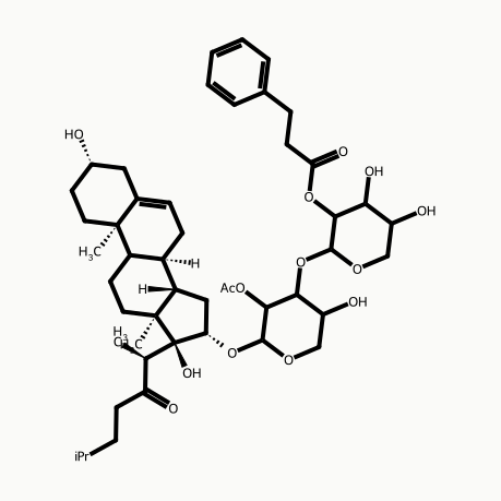 CC(=O)OC1C(O[C@H]2C[C@H]3[C@@H]4CC=C5C[C@@H](O)CC[C@]5(C)C4CC[C@]3(C)[C@@]2(O)[C@H](C)C(=O)CCC(C)C)OCC(O)C1OC1OCC(O)C(O)C1OC(=O)CCc1ccccc1